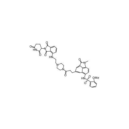 COc1ccccc1S(=O)(=O)Nc1ccc2c3c(cc(CCC(=O)N4CCN(CCNc5cccc6c5C(=O)N(C5CCC(=O)NC5=O)C6=O)CC4)cc13)C(=O)N2C